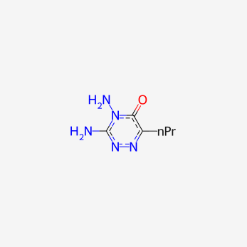 CCCc1nnc(N)n(N)c1=O